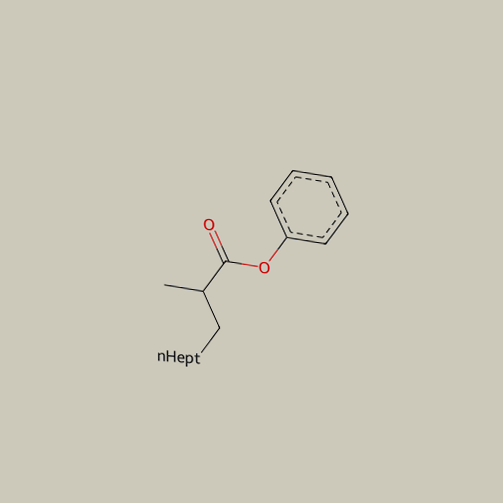 CCCCCCCCC(C)C(=O)Oc1ccccc1